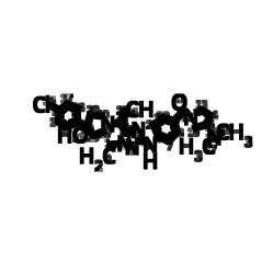 C=Cn1nc(Nc2ccc(C(=O)N3CC[C@H](N(C)C)C3)cc2)nc1/C(=C\C)N1CCC(O)(c2ccc(Cl)cc2)CC1